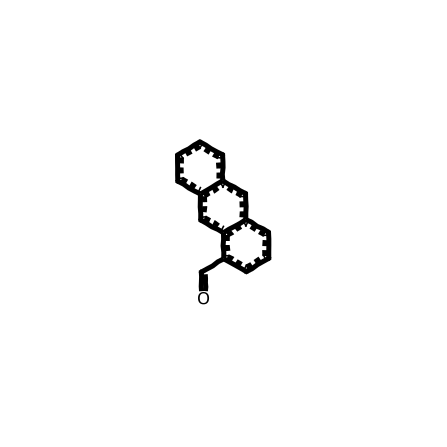 O=Cc1cccc2cc3ccccc3cc12